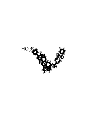 C=C(C)[C@@H]1CC[C@]2(NCCN3CCN(S(=O)(=O)c4ccccc4)CC3)CC[C@]3(C)[C@H](CC[C@@H]4[C@@]5(C)CC=C(c6ccc(C(=O)O)cc6)C(C)(C)[C@@H]5CC[C@]43C)[C@@H]12